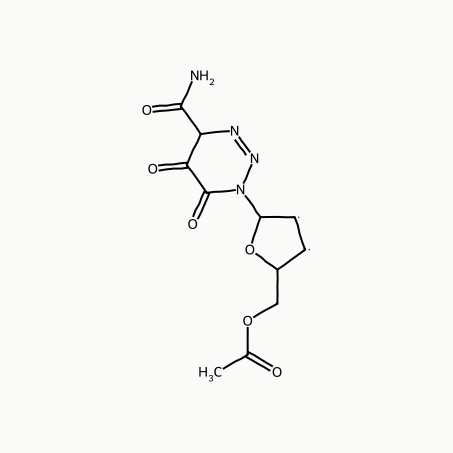 CC(=O)OCC1[CH][CH]C(N2N=NC(C(N)=O)C(=O)C2=O)O1